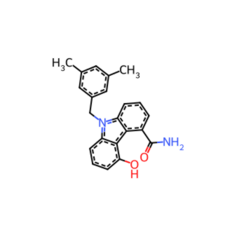 Cc1cc(C)cc(Cn2c3cccc(O)c3c3c(C(N)=O)cccc32)c1